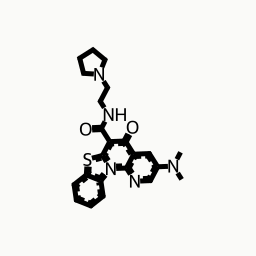 CN(C)c1cnc2c(c1)c(=O)c(C(=O)NCCN1CCCC1)c1sc3ccccc3n12